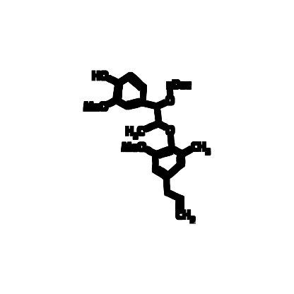 C=CCc1cc(C)c(OC(C)C(OCCCCCCCCCC)c2ccc(O)c(OC)c2)c(OC)c1